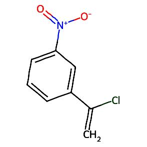 C=C(Cl)c1cccc([N+](=O)[O-])c1